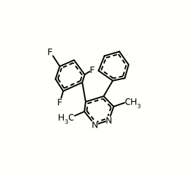 Cc1nnc(C)c(-c2c(F)cc(F)cc2F)c1-c1ccccc1